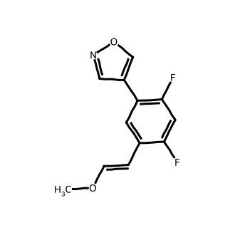 COC=Cc1cc(-c2cnoc2)c(F)cc1F